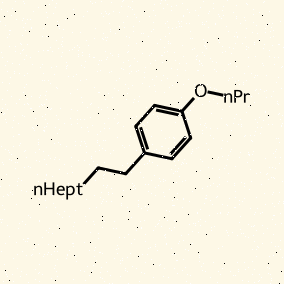 [CH2]CCOc1ccc(CCCCCCCCC)cc1